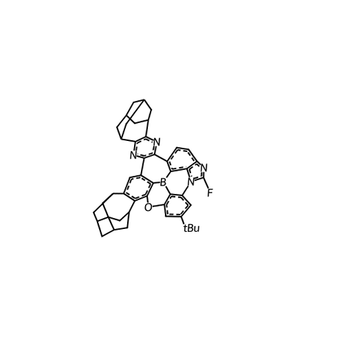 CC(C)(C)c1cc2c3c(c1)-n1c(F)nc4ccc5c(c41)B3c1c(cc3c(c1O2)C1CC2CC4CC3CC42C1)-c1nc2c(nc1-5)C1CC3CC(CC2C3)C1